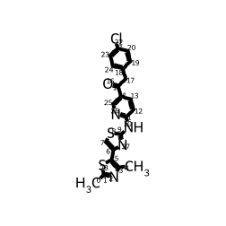 Cc1nc(C)c(-c2csc(Nc3ccc(C(=O)Cc4ccc(Cl)cc4)cn3)n2)s1